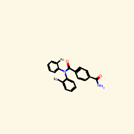 CC(=O)c1ccccc1N(C(=O)c1ccc(C(N)=O)cc1)c1ccccc1C(C)=O